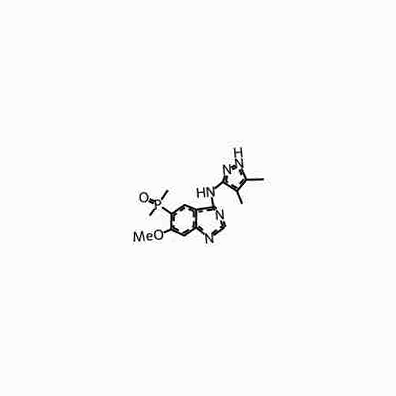 COc1cc2ncnc(Nc3n[nH]c(C)c3C)c2cc1P(C)(C)=O